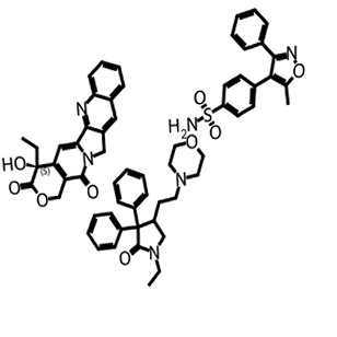 CCN1CC(CCN2CCOCC2)C(c2ccccc2)(c2ccccc2)C1=O.CC[C@@]1(O)C(=O)OCc2c1cc1n(c2=O)Cc2cc3ccccc3nc2-1.Cc1onc(-c2ccccc2)c1-c1ccc(S(N)(=O)=O)cc1